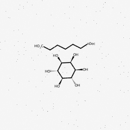 CCCCCCCCCCCCCCCC(=O)O.O[C@H]1[C@H](O)[C@@H](O)[C@H](O)[C@@H](O)[C@H]1O